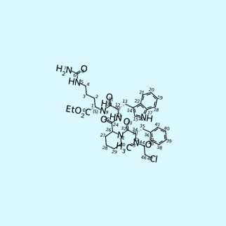 CCOC(=O)[C@H](CCCNC(N)=O)NC(=O)[C@H](Cc1c[nH]c2ccccc12)NC(=O)C1CCCCN1C(=O)[C@H](Cc1ccccc1)N(C)C(=O)CCl